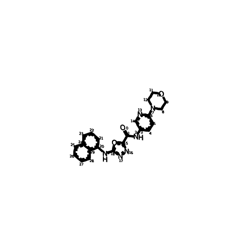 O=C(Nc1ccc(N2CCOCC2)nc1)c1nnc(Nc2cccc3ccccc23)o1